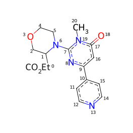 CCOC(=O)C1COCCN1c1nc(-c2ccncc2)cc(=O)n1C